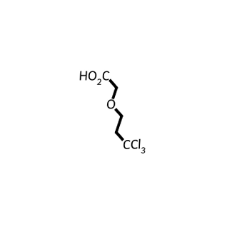 O=C(O)COCCC(Cl)(Cl)Cl